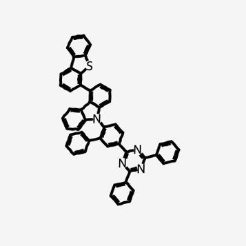 c1ccc(-c2nc(-c3ccccc3)nc(-c3ccc(-n4c5ccccc5c5c(-c6cccc7c6sc6ccccc67)cccc54)c(-c4ccccc4)c3)n2)cc1